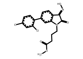 COC(=O)CCCN1C(=O)/C(=N/O)c2ccc(-c3ccc(Cl)cc3Cl)cc21